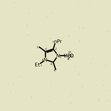 CCCCN1C(CCC)=C(C)N(CC)C1C.O